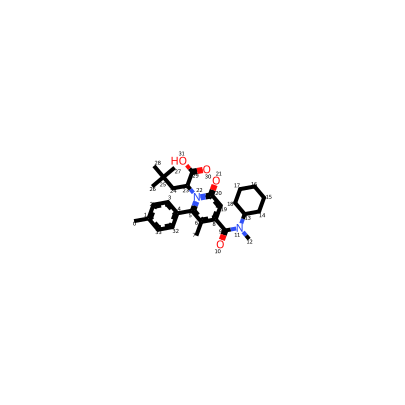 Cc1ccc(-c2c(C)c(C(=O)N(C)C3CCCCC3)cc(=O)n2C(CC(C)(C)C)C(=O)O)cc1